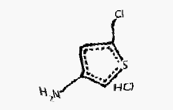 Cl.Nc1csc(Cl)c1